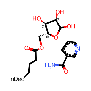 CCCCCCCCCCCCCC(=O)OC[C@H]1OC(O)[C@H](O)[C@@H]1O.NC(=O)c1cccnc1